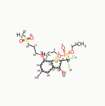 CCOP(=O)(OCC)C(F)(F)c1sc2c(OCCCS(C)(=O)=O)cc(I)cc2c1Br